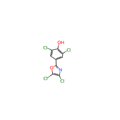 Oc1c(Cl)cc(-c2nc(Cl)c(Cl)o2)cc1Cl